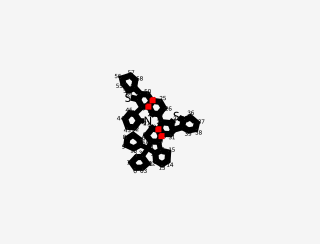 c1ccc(C2(c3ccccc3)c3ccccc3-c3ccc(N(c4ccccc4-c4cccc5c4sc4ccccc45)c4ccccc4-c4cccc5c4sc4ccccc45)cc32)cc1